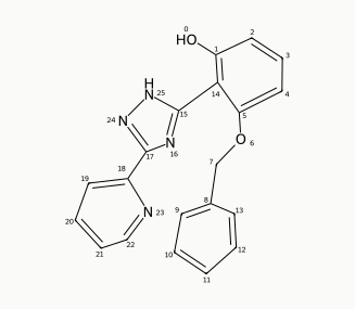 Oc1cccc(OCc2ccccc2)c1-c1nc(-c2ccccn2)n[nH]1